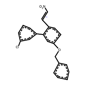 O=[N+]([O-])/C=C/c1ccc(OCc2ccccc2)cc1-c1cccc(Cl)c1